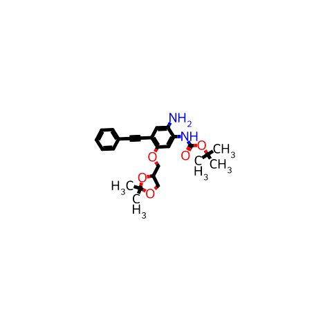 CC(C)(C)OC(=O)Nc1cc(OCC2COC(C)(C)O2)c(C#Cc2ccccc2)cc1N